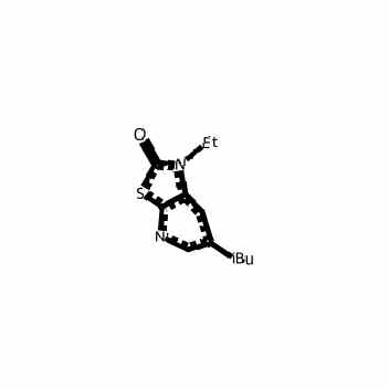 CCC(C)c1cnc2sc(=O)n(CC)c2c1